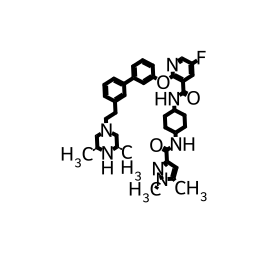 Cc1cc(C(=O)NC2CCC(NC(=O)c3cc(F)cnc3Oc3cccc(-c4cccc(CCN5C[C@@H](C)N[C@@H](C)C5)c4)c3)CC2)nn1C